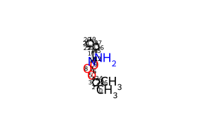 Cc1ccc(OCC(=O)O/N=C(\N)Cc2cccc3ccccc23)cc1C